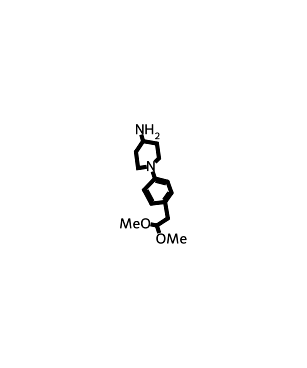 COC(Cc1ccc(N2CCC(N)CC2)cc1)OC